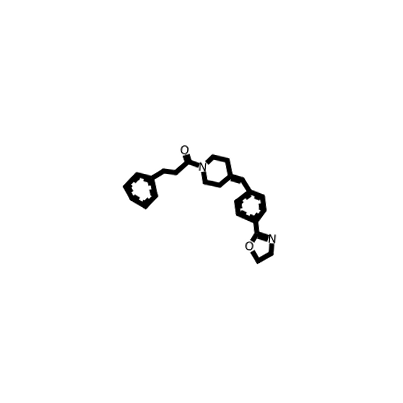 O=C(CCc1ccccc1)N1CCC(=Cc2ccc(C3=NCCO3)cc2)CC1